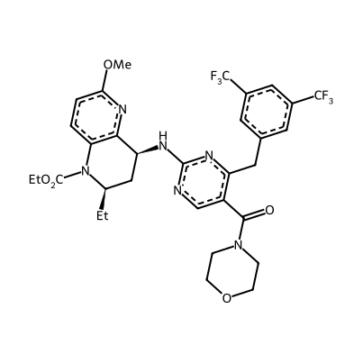 CCOC(=O)N1c2ccc(OC)nc2[C@@H](Nc2ncc(C(=O)N3CCOCC3)c(Cc3cc(C(F)(F)F)cc(C(F)(F)F)c3)n2)C[C@H]1CC